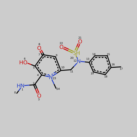 CNC(=O)c1c(O)c(=O)cc(CN(c2ccc(C)cc2)[SH](=O)=O)n1C